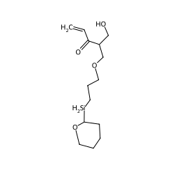 C=CC(=O)C(CO)COCCC[SiH2]C1CCCCO1